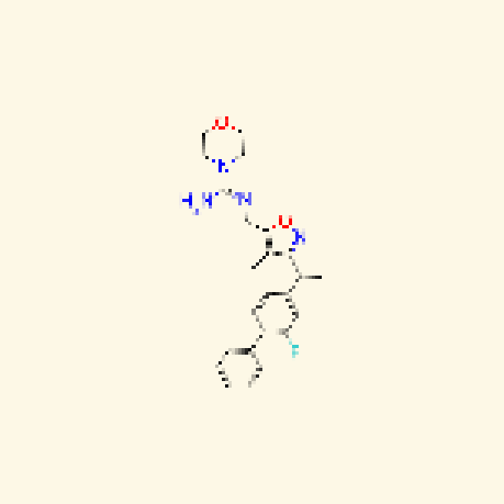 Cc1c(C(C)c2ccc(-c3ccccc3)c(F)c2)noc1C/N=C(\N)N1CCOCC1